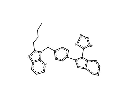 CCCCc1nc2cccnc2n1Cc1ccc(-c2cn3ccccc3c2-c2nnn[nH]2)cc1